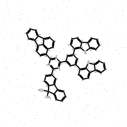 CC1(C)c2ccccc2-c2cc(-c3nc(-c4cc(-c5cccc6c5oc5ccccc56)cc(-c5cccc6c5oc5ccccc56)c4)nc(-c4ccc5c6c(cccc46)-c4ccccc4-5)n3)ccc21